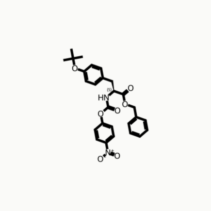 CC(C)(C)Oc1ccc(C[C@H](NC(=O)Oc2ccc([N+](=O)[O-])cc2)C(=O)OCc2ccccc2)cc1